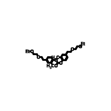 CCOCCOCCc1ccc(OC(=O)Oc2ccc(CCOCCOCC)cc2C)c(C)c1